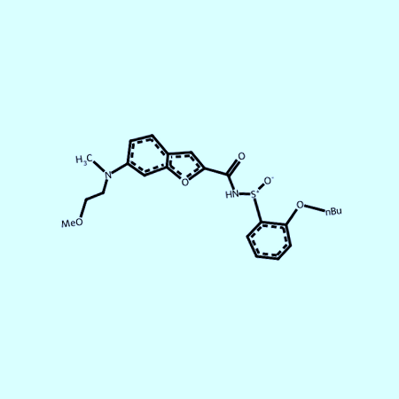 CCCCOc1ccccc1[S+]([O-])NC(=O)c1cc2ccc(N(C)CCOC)cc2o1